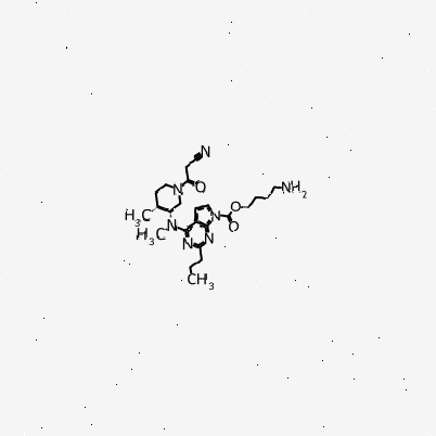 CCCc1nc(N(C)[C@H]2CN(C(=O)CC#N)CC[C@H]2C)c2ccn(C(=O)OCCCCN)c2n1